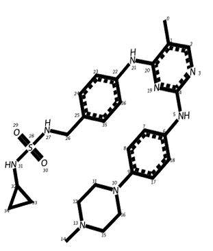 Cc1cnc(Nc2ccc(N3CCN(C)CC3)cc2)nc1Nc1ccc(CNS(=O)(=O)NC2CC2)cc1